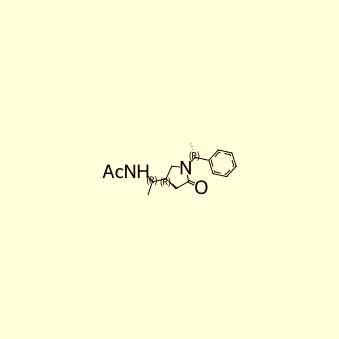 CC(=O)N[C@H](C)[C@@H]1CC(=O)N([C@H](C)c2ccccc2)C1